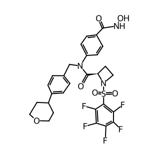 O=C(NO)c1ccc(N(Cc2ccc(C3CCOCC3)cc2)C(=O)[C@H]2CCN2S(=O)(=O)c2c(F)c(F)c(F)c(F)c2F)cc1